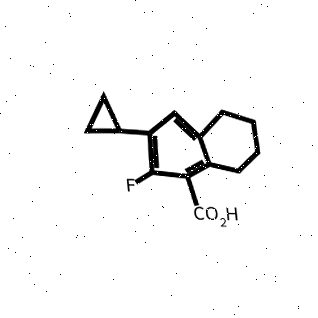 O=C(O)c1c(F)c(C2CC2)cc2c1CCCC2